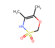 CC1=C(C)OCS(=O)(=O)N1